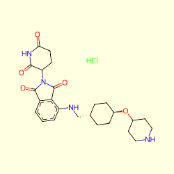 Cl.O=C1CCC(N2C(=O)c3cccc(NC[C@H]4CC[C@H](OC5CCNCC5)CC4)c3C2=O)C(=O)N1